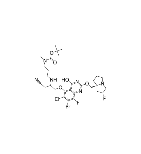 CN(CCCNC(CC#N)COc1c(Cl)c(Br)c(F)c2nc(OC[C@@]34CCCN3C[C@H](F)C4)nc(O)c12)C(=O)OC(C)(C)C